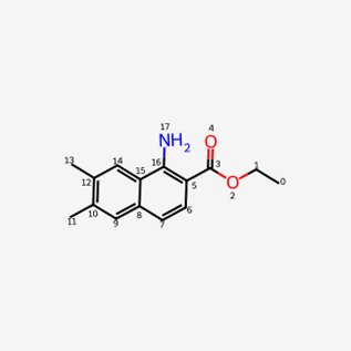 CCOC(=O)c1ccc2cc(C)c(C)cc2c1N